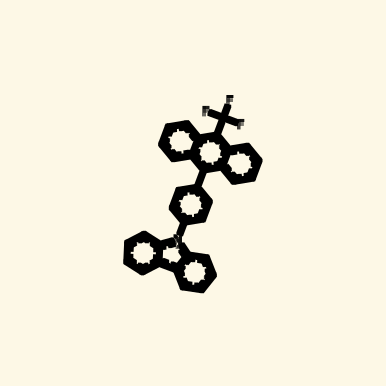 FC(F)(F)c1c2ccccc2c(-c2ccc(-n3c4ccccc4c4ccccc43)cc2)c2ccccc12